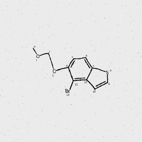 COCOc1ccc2sccc2c1Br